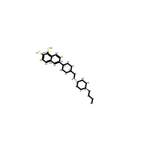 CCCC[C@H]1CC[C@H](CCC2CCC(c3ccc4c(F)c(F)ccc4c3)CC2)CC1